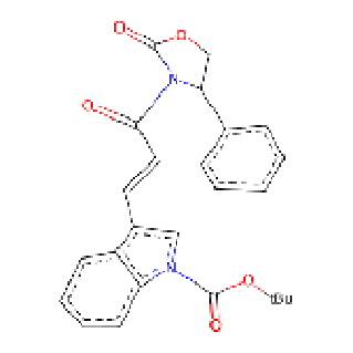 CC(C)(C)OC(=O)n1cc(/C=C/C(=O)N2C(=O)OCC2c2ccccc2)c2ccccc21